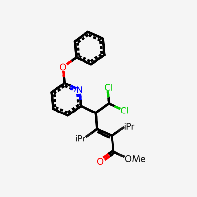 COC(=O)C(=C(C(C)C)C(c1cccc(Oc2ccccc2)n1)C(Cl)Cl)C(C)C